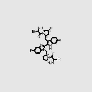 CCC(N)C(=O)N1C[C@@H](F)C[C@H]1Cc1c(-c2nc3cc(F)ccc3n2C[C@@H]2CCCN2C(=O)C(N)C(C)C)[nH]c2cc(F)ccc12